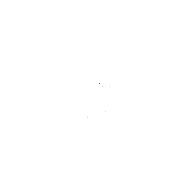 CCOC(=O)C1CCC(CC)CN1